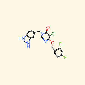 O=c1c(Cl)c(OCc2ccc(F)cc2F)ncn1Cc1ccc2c(c1)NCN2